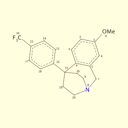 COc1ccc2c(c1)CN1CCC2(c2ccc(C(F)(F)F)cc2)CC1